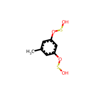 Cc1cc(OSO)cc(OSO)c1